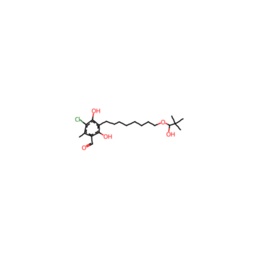 Cc1c(Cl)c(O)c(CCCCCCCCOC(O)C(C)(C)C)c(O)c1C=O